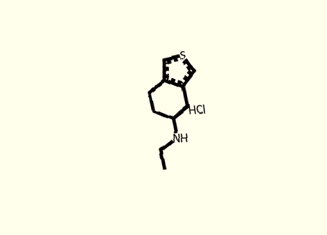 CCNC1CCc2cscc2C1.Cl